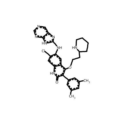 Cc1cc(C)cc(-c2c(OCCC3CCCCN3)c3cc(Nc4nc5cncnc5[nH]4)c(Cl)cc3[nH]c2=O)c1